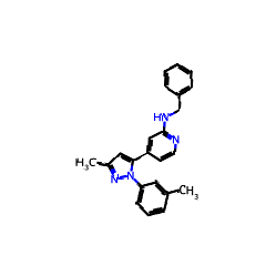 Cc1cccc(-n2nc(C)cc2-c2ccnc(NCc3ccccc3)c2)c1